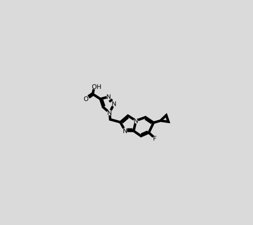 O=C(O)c1cn(Cc2cn3cc(C4CC4)c(F)cc3n2)nn1